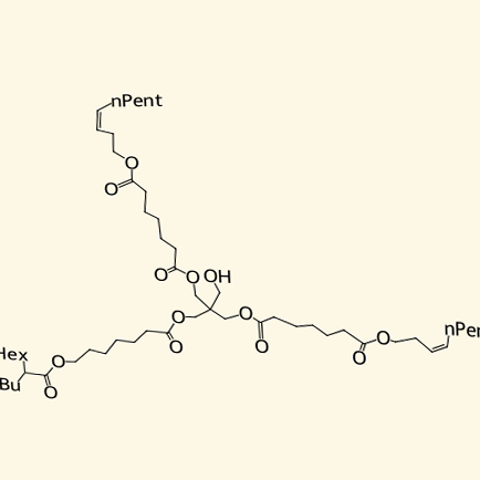 CCCCC/C=C\CCOC(=O)CCCCCC(=O)OCC(CO)(COC(=O)CCCCCCOC(=O)C(CCCC)CCCCCC)COC(=O)CCCCCC(=O)OCC/C=C\CCCCC